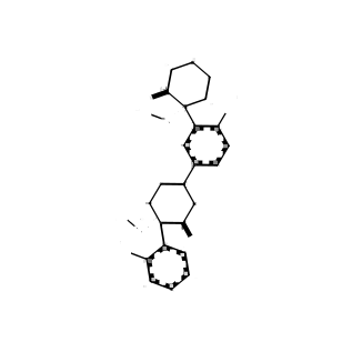 CN[C@@]1(c2cc(C3CC[C@](NC)(c4ccccc4C)C(=O)C3)ccc2C)CCCCC1=O